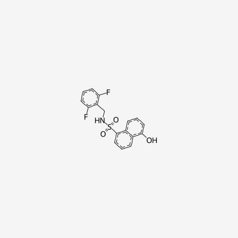 O=S(=O)(NCc1c(F)cccc1F)c1cccc2c(O)cccc12